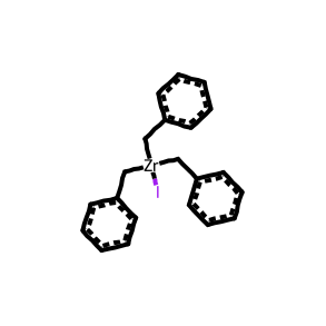 [I][Zr]([CH2]c1ccccc1)([CH2]c1ccccc1)[CH2]c1ccccc1